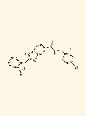 O=C(NCc1ccc(Cl)cc1F)c1ccc2[nH]c(-c3n[nH]c4ccccc34)nc2c1